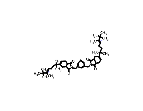 C/C(=C\CCC(C)(C)C1=CCC2C(=O)N(Cc3cccc(CN4C(=O)C5CC=C(C(C)(C)CC/C=C(\C)C(C)(C)C)CC5C4=O)c3)C(=O)C2C1)C(C)(C)C